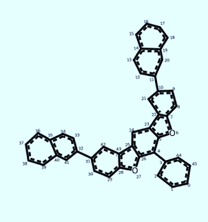 c1ccc(-c2c3oc4ccc(-c5ccc6ccccc6c5)cc4c3cc3c2oc2ccc(-c4ccc5ccccc5c4)cc23)cc1